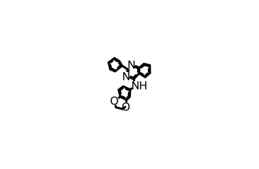 c1ccc(-c2nc(Nc3ccc4c(c3)OCCO4)c3ccccc3n2)cc1